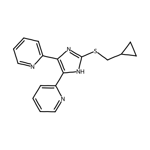 c1ccc(-c2nc(SCC3CC3)[nH]c2-c2ccccn2)nc1